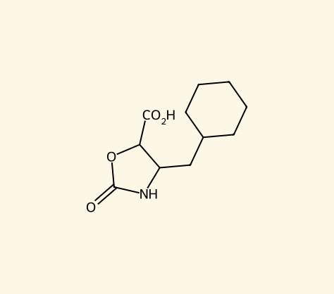 O=C1NC(CC2CCCCC2)C(C(=O)O)O1